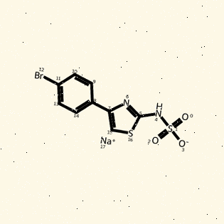 O=S(=O)([O-])Nc1nc(-c2ccc(Br)cc2)cs1.[Na+]